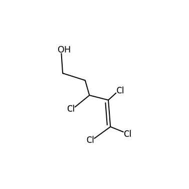 OCCC(Cl)C(Cl)=C(Cl)Cl